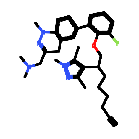 C#CCCCCC(COc1c(F)cccc1-c1ccc2c(c1)CC(CN(C)C)=NN2C)c1c(C)nn(C)c1C